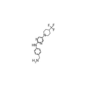 NCc1ccc(Nc2ncc(N3CCC(C(F)(F)F)CC3)cn2)cc1